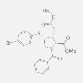 COC(=O)[C@@H]1[C@@H](CC(=O)OC(C)(C)C)[C@@H](Sc2ccc(Br)cc2)CN1C(=O)c1ccccc1